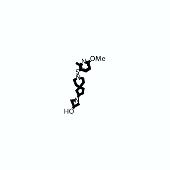 COc1ccc(SN2CCC3(CCC(N4CC(O)C4)C3)CC2)c(C)n1